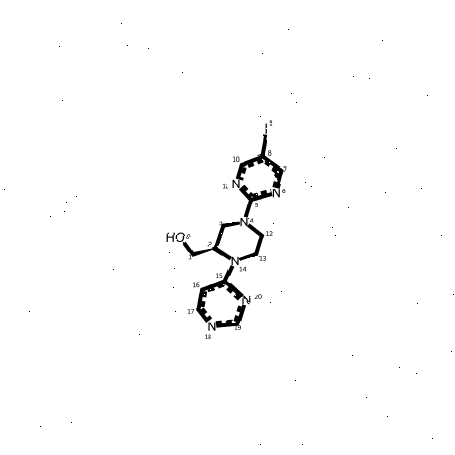 OC[C@H]1CN(c2ncc(I)cn2)CCN1c1ccncn1